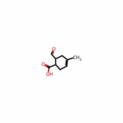 CC1=CCC(C(=O)O)C(C=O)C1